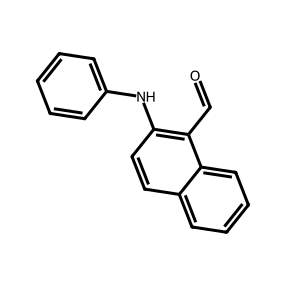 O=Cc1c(Nc2ccccc2)ccc2ccccc12